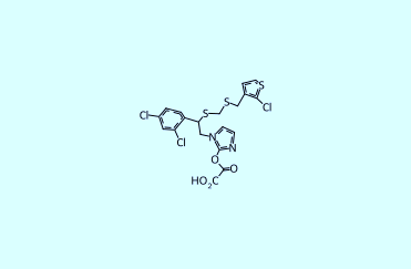 O=C(O)C(=O)Oc1nccn1CC(SCSCc1ccsc1Cl)c1ccc(Cl)cc1Cl